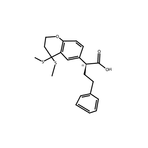 CSC1(SC)CCOc2ccc([C@H](CCc3ccccc3)C(=O)O)cc21